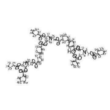 O=C(OCCN(CCOC(=O)c1ccccc1)CCOC(O)c1ccc(C2CCCC(C(=O)OCCN(CCOC(=O)C3CCCCC3)CCOC(=O)C3CCC(C4CCC(C(=O)OCCN(CCOC(=O)C5CCCC5)CCOC(=O)C5CCCC5)C4)CC3)C2)cc1)c1ccccc1